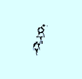 Cn1c(Nc2ccnc(Cl)n2)nc2cc(N)ccc21